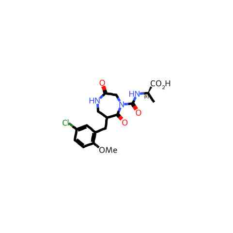 COc1ccc(Cl)cc1CC1CNC(=O)CN(C(=O)N[C@H](C)C(=O)O)C1=O